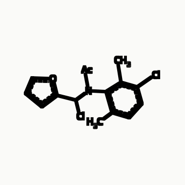 CC(=O)N(c1c(C)ccc(Cl)c1C)C(Cl)c1ccco1